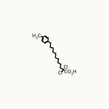 Cc1ccc(CCCCCCCCCCC(Cl)(Cl)C(=O)O)cc1